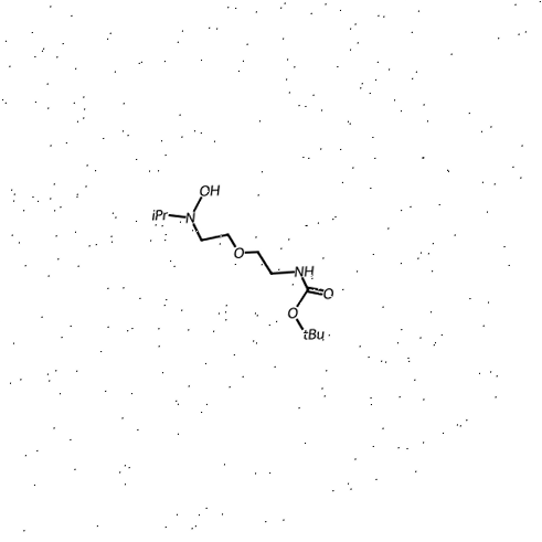 CC(C)N(O)CCOCCNC(=O)OC(C)(C)C